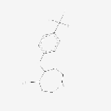 OC1CCNCCC1Oc1ccc(C(F)(F)F)cc1